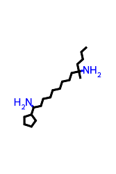 CCCCC(C)(N)CCCCCCCCC(N)C1CCCC1